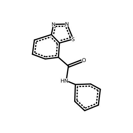 O=C(Nc1ccccc1)c1cccc2nnsc12